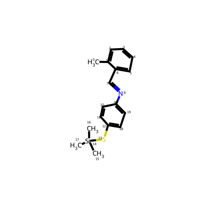 Cc1ccccc1/C=N/c1ccc(S[Si](C)(C)C)cc1